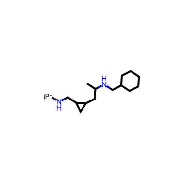 CC(C)NCC1CC1CC(C)NCC1CCCCC1